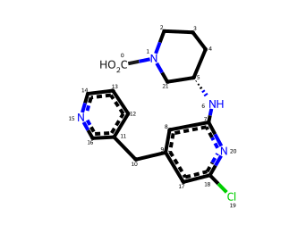 O=C(O)N1CCC[C@H](Nc2cc(Cc3cccnc3)cc(Cl)n2)C1